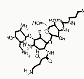 N=C(NCCCN)NC1C(O)[C@@H](CO)OC(OC2C(F)[C@H](O[C@H]3OC(CN)[C@@H](O)CC3N)C(N)C[C@H]2NC(=O)[C@@H](O)CCN)[C@@H]1O